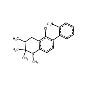 CC1Cc2c(ccc(-c3ccccc3[N+](=O)[O-])c2Cl)N(C)C1(C)C